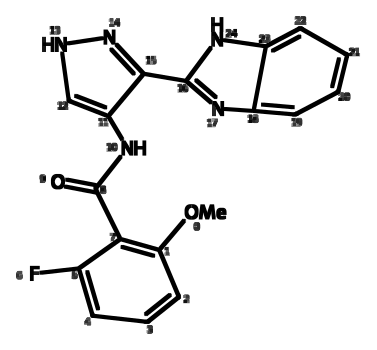 COc1cccc(F)c1C(=O)Nc1c[nH]nc1-c1nc2ccccc2[nH]1